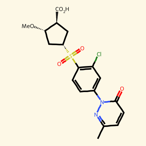 CO[C@H]1C[C@@H](S(=O)(=O)c2ccc(-n3nc(C)ccc3=O)cc2Cl)C[C@@H]1C(=O)O